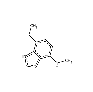 CCc1ccc(NC)c2cc[nH]c12